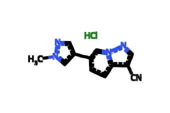 Cl.Cn1cc(-c2ccc3c(C#N)cnn3c2)cn1